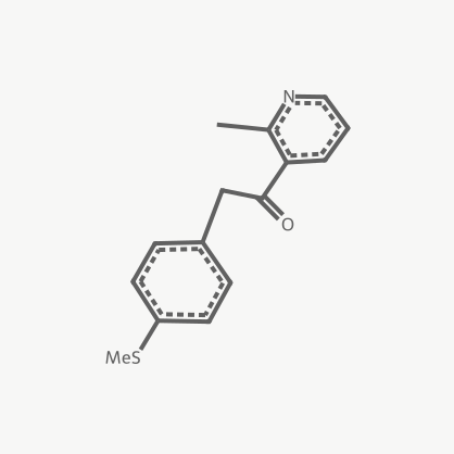 CSc1ccc(CC(=O)c2cccnc2C)cc1